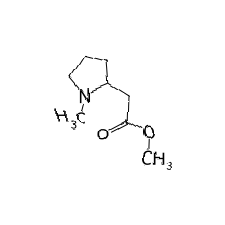 COC(=O)CC1CCCN1C